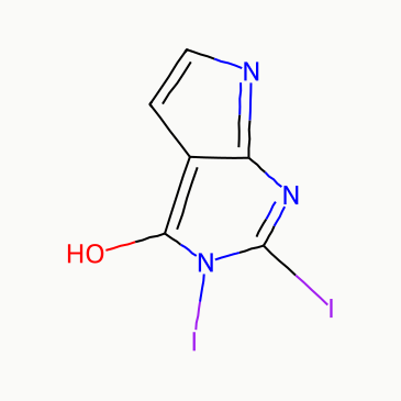 Oc1c2ccnc-2nc(I)n1I